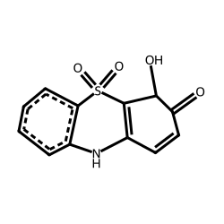 O=C1C=CC2=C(C1O)S(=O)(=O)c1ccccc1N2